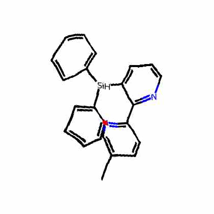 Cc1ccc(-c2ncccc2[SiH](c2ccccc2)c2ccccc2)nc1